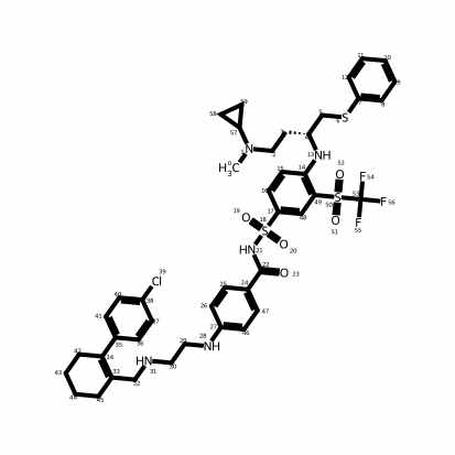 CN(CC[C@H](CSc1ccccc1)Nc1ccc(S(=O)(=O)NC(=O)c2ccc(NCCNCC3=C(c4ccc(Cl)cc4)CCCC3)cc2)cc1S(=O)(=O)C(F)(F)F)C1CC1